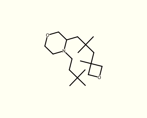 CC(C)(C)CCN1CCOCC1CC(C)(C)CC1(C)COC1